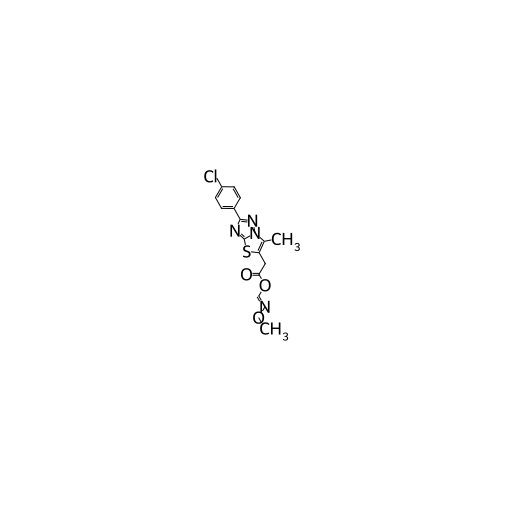 CO/N=C/OC(=O)Cc1sc2nc(-c3ccc(Cl)cc3)nn2c1C